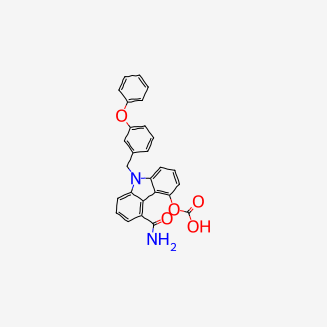 NC(=O)c1cccc2c1c1c(OC(=O)O)cccc1n2Cc1cccc(Oc2ccccc2)c1